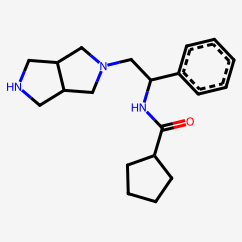 O=C(NC(CN1CC2CNCC2C1)c1ccccc1)C1CCCC1